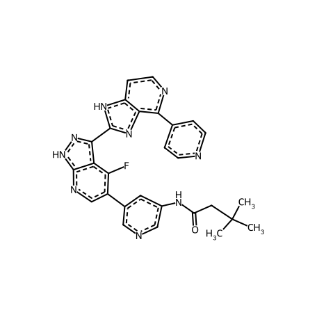 CC(C)(C)CC(=O)Nc1cncc(-c2cnc3[nH]nc(-c4nc5c(-c6ccncc6)nccc5[nH]4)c3c2F)c1